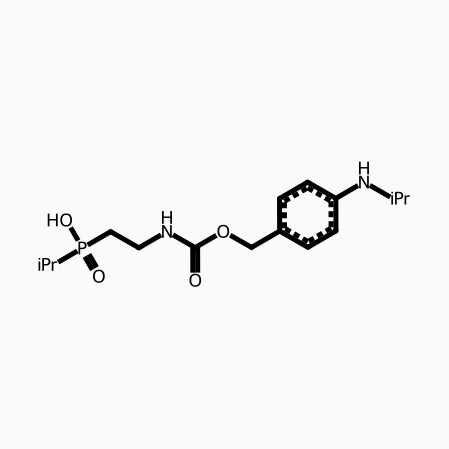 CC(C)Nc1ccc(COC(=O)NCCP(=O)(O)C(C)C)cc1